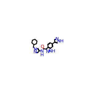 O=C(Nc1cnn(CC2CCCCC2)c1)c1n[nH]c2cc(-c3cn[nH]c3)ccc12